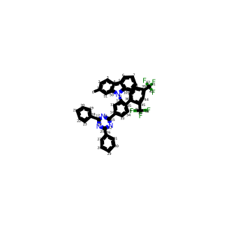 Cc1ccc2c3ccccc3n(-c3cc(-c4nc(-c5ccccc5)nc(-c5ccccc5)n4)ccc3-c3ccc(C(F)(F)F)cc3C(F)(F)F)c2c1